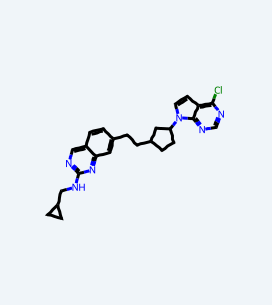 Clc1ncnc2c1ccn2C1CCC(CCc2ccc3cnc(NCC4CC4)nc3c2)C1